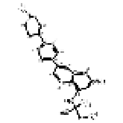 CCCCC(C)(CO)Nc1cc(N)nc2cc(-c3cnc(C4CCN(C)CC4)nc3)cnc12